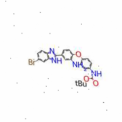 CC(C)(C)OC(=O)Nc1ccc(Oc2ccc(-c3nc4ccc(Br)cc4[nH]3)cc2N)cc1